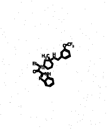 CCN(C(=O)c1nc2ccccc2[nH]1)[C@H]1CCCC(C)(NCc2cccc(OC(F)(F)F)c2)C1